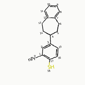 CCCc1cc(C2CCc3ccccc3CC2)ccc1S